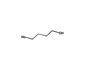 OCCC[CH2][Na]